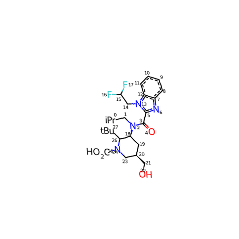 CC(C)CN(C(=O)c1nc2ccccc2n1CC(F)F)[C@H]1C[C@@H](CO)CN(C(=O)O)C1C(C)(C)C